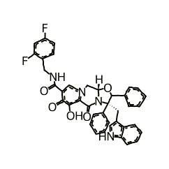 O=C(NCc1ccc(F)cc1F)c1cn2c(c(O)c1=O)C(=O)N1[C@H](C2)OC(c2ccccc2)[C@@]1(Cc1c[nH]c2ccccc12)c1ccccc1